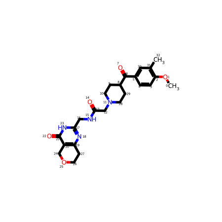 COc1ccc(C(=O)C2CCN(CC(=O)NCc3nc4c(c(=O)[nH]3)COCC4)CC2)cc1C